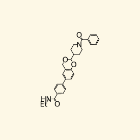 CCNC(=O)c1ccc(-c2ccc3c(c2)COC(C2CCN(C(=O)c4ccccc4)CC2)O3)cc1